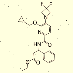 CCOC(=O)CC(NC(=O)c1ccc(N2CC(F)(F)C2)c(OCC2CC2)n1)c1ccccc1